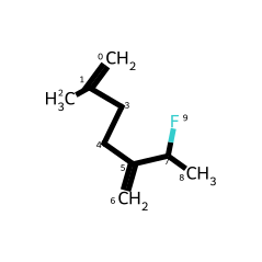 C=C(C)CCC(=C)C(C)F